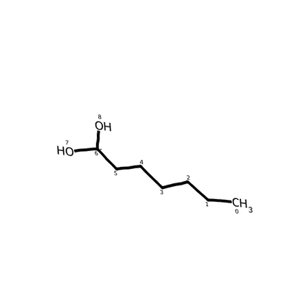 CCCCCC[C](O)O